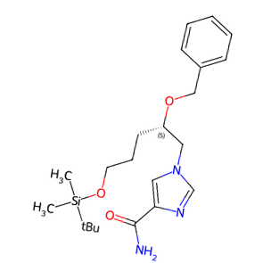 CC(C)(C)[Si](C)(C)OCCC[C@@H](Cn1cnc(C(N)=O)c1)OCc1ccccc1